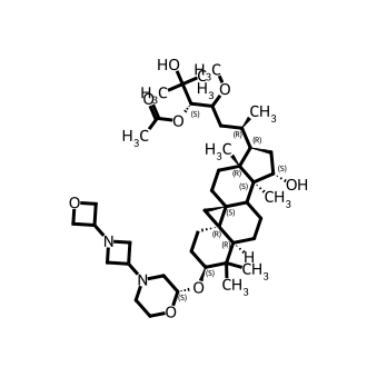 COC(C[C@@H](C)[C@H]1C[C@H](O)[C@@]2(C)C3CC[C@H]4C(C)(C)[C@@H](O[C@H]5CN(C6CN(C7COC7)C6)CCO5)CC[C@@]45C[C@@]35CC[C@]12C)[C@H](OC(C)=O)C(C)(C)O